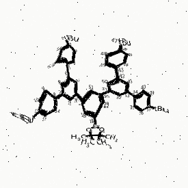 CC(C)(C)c1ccc(-c2cc(-c3ccc(C(C)(C)C)cc3)cc(-c3cc(B4OC(C)(C)C(C)(C)O4)cc(-c4cc(-c5ccc(C(C)(C)C)cc5)cc(-c5ccc(C(C)(C)C)cc5)c4)c3)c2)cc1